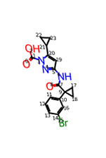 O=C(O)n1nc(NC(=O)C2(c3cccc(Br)c3)CC2)cc1C1CC1